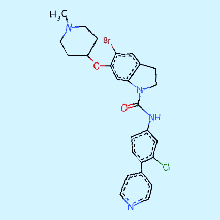 CN1CCC(Oc2cc3c(cc2Br)CCN3C(=O)Nc2ccc(-c3ccncc3)c(Cl)c2)CC1